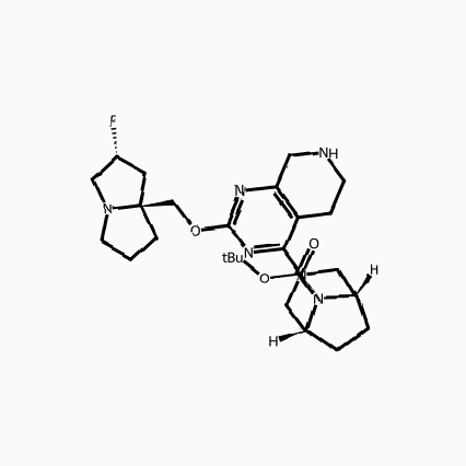 CC(C)(C)OC(=O)N1[C@@H]2CC[C@H]1CN(c1nc(OC[C@@]34CCCN3C[C@H](F)C4)nc3c1CCNC3)C2